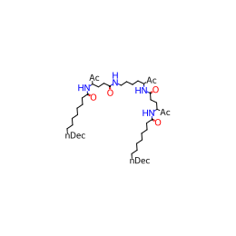 CCCCCCCCCCCCCCCCCC(=O)NC(CCC(=O)NCCCCC(NC(=O)CCC(NC(=O)CCCCCCCCCCCCCCCCC)C(C)=O)C(C)=O)C(C)=O